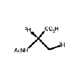 [2H]C[C@]([2H])(NC(C)=O)C(=O)O